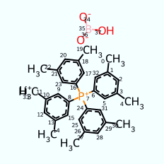 Cc1cc(C)cc([P+](c2cc(C)cc(C)c2)(c2cc(C)cc(C)c2)c2cc(C)cc(C)c2)c1.[Li+].[O-]B([O-])O